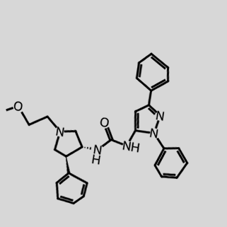 COCCN1C[C@H](NC(=O)Nc2cc(-c3ccccc3)nn2-c2ccccc2)[C@@H](c2ccccc2)C1